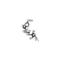 COC1COc2c(S(=O)(=O)NC(=O)Nc3c(C(C)C)nn(CC(F)(F)F)c3C(C)C)cnn2C1